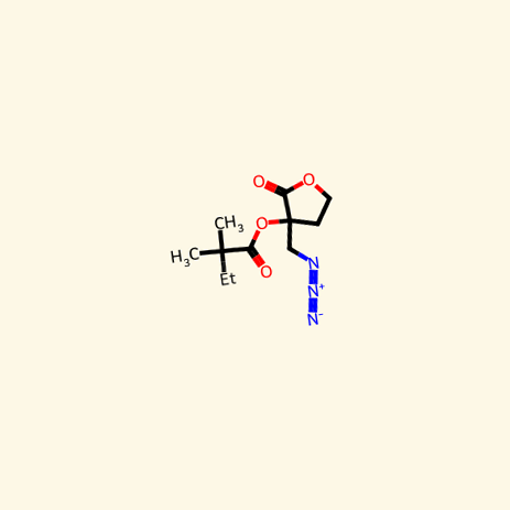 CCC(C)(C)C(=O)OC1(CN=[N+]=[N-])CCOC1=O